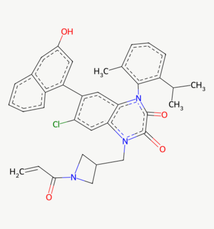 C=CC(=O)N1CC(Cn2c(=O)c(=O)n(-c3c(C)cccc3C(C)C)c3cc(-c4cc(O)cc5ccccc45)c(Cl)cc32)C1